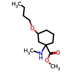 CCCCOC1CCCC(NC)(C(=O)OC)C1